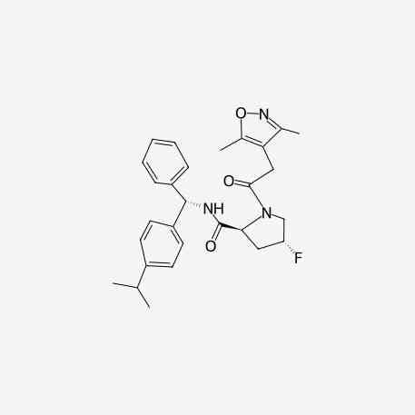 Cc1noc(C)c1CC(=O)N1C[C@H](F)C[C@H]1C(=O)N[C@@H](c1ccccc1)c1ccc(C(C)C)cc1